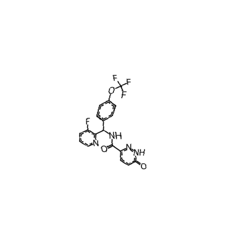 O=C(NC(c1ccc(OC(F)(F)F)cc1)c1ncccc1F)c1ccc(=O)[nH]n1